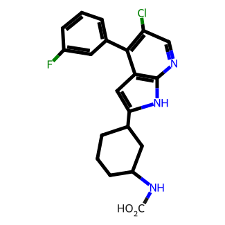 O=C(O)NC1CCCC(c2cc3c(-c4cccc(F)c4)c(Cl)cnc3[nH]2)C1